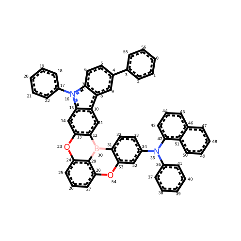 c1ccc(-c2ccc3c(c2)c2cc4c(cc2n3-c2ccccc2)Oc2cccc3c2B4c2ccc(N(c4ccccc4)c4cccc5ccccc45)cc2O3)cc1